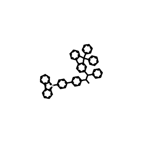 CC(c1ccc(-c2ccc(-n3c4ccccc4c4ccccc43)cc2)cc1)C(c1ccccc1)c1ccc2c(c1)C(c1ccccc1)(c1ccccc1)c1ccccc1-2